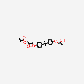 [CH2]C(O)COc1ccc(C(C)(C)c2ccc(OCC(O)COC(=O)C=C)cc2)cc1